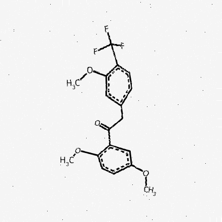 COc1ccc(OC)c(C(=O)Cc2ccc(C(F)(F)F)c(OC)c2)c1